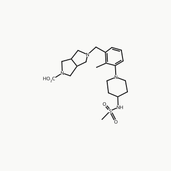 Cc1c(CN2CC3CN(C(=O)O)CC3C2)cccc1N1CCC(NS(C)(=O)=O)CC1